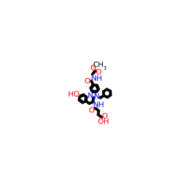 COC(=O)CNC(=O)c1ccc2c(c1)nc(C(Cc1ccc(O)cc1)NC(=O)CCC(=O)O)n2CC1CCCCC1